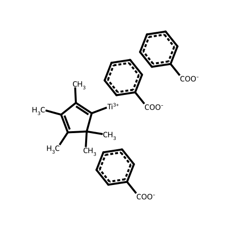 CC1=C(C)C(C)(C)[C]([Ti+3])=C1C.O=C([O-])c1ccccc1.O=C([O-])c1ccccc1.O=C([O-])c1ccccc1